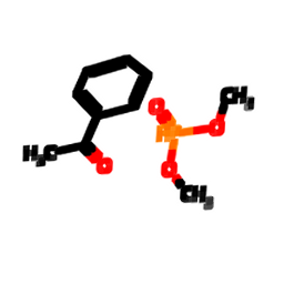 CC(=O)c1ccccc1.CO[PH](=O)OC